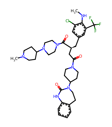 CNc1c(Cl)cc(C[C@@H](CC(=O)N2CCC(N3CCc4ccccc4NC3=O)CC2)C(=O)N2CCN(C3CCN(C)CC3)CC2)cc1C(F)(F)F